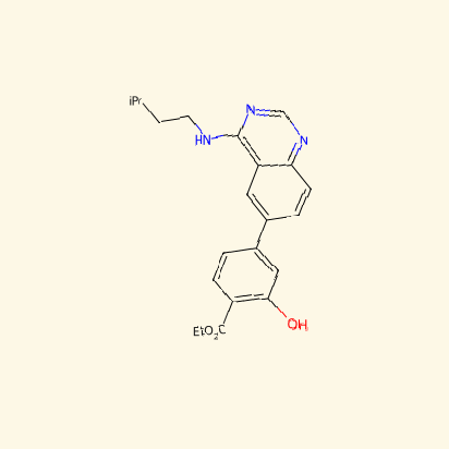 CCOC(=O)c1ccc(-c2ccc3ncnc(NCCC(C)C)c3c2)cc1O